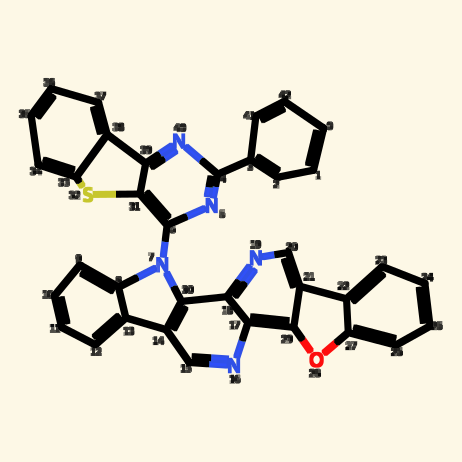 c1ccc(-c2nc(-n3c4ccccc4c4cnc5c(ncc6c7ccccc7oc65)c43)c3sc4ccccc4c3n2)cc1